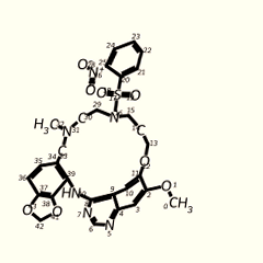 COc1cc2ncnc3c2cc1OCCCN(S(=O)(=O)c1ccccc1[N+](=O)[O-])CCN(C)Cc1ccc2c(c1N3)OCO2